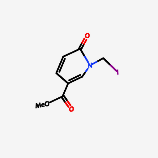 COC(=O)c1ccc(=O)n(CI)c1